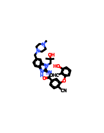 CN1CCN(Cc2ccc3[nH]/c(=N\C(=O)c4ccc(C#N)c(Oc5cccc(O)c5C=O)c4)n(CC(C)(C)O)c3c2)CC1